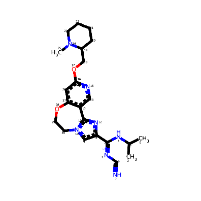 CC(C)N/C(=N\C=N)c1cn2c(n1)-c1cnc(OCC3CCCCN3C)cc1OCC2